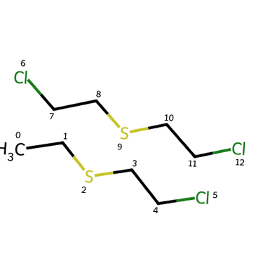 CCSCCCl.ClCCSCCCl